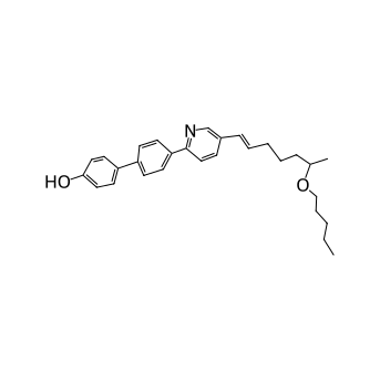 CCCCCOC(C)CCCC=Cc1ccc(-c2ccc(-c3ccc(O)cc3)cc2)nc1